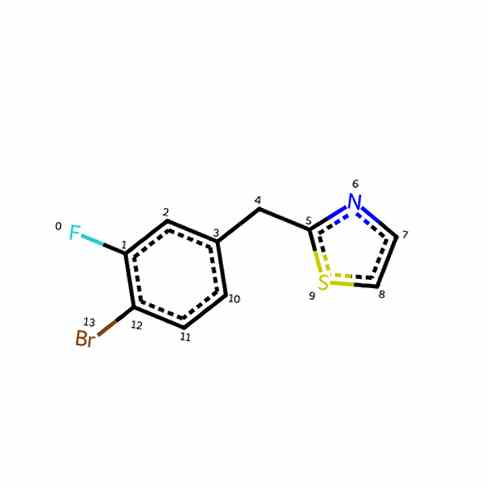 Fc1cc(Cc2nccs2)ccc1Br